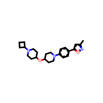 Cc1cc(-c2ccc(N3CCC(OC4CCN(C5CCC5)CC4)CC3)cc2)on1